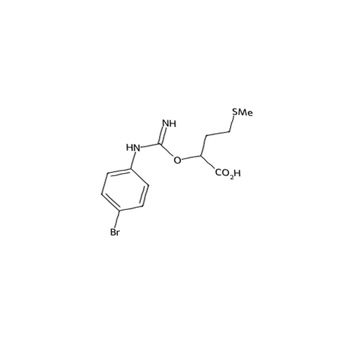 CSCCC(OC(=N)Nc1ccc(Br)cc1)C(=O)O